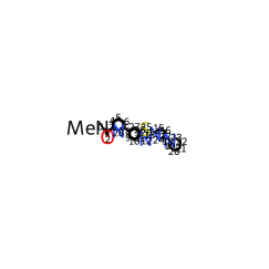 CNC(=O)c1cccc(-c2ccc3nc(N4CCC(N5CCCCC5)C4)sc3c2)n1